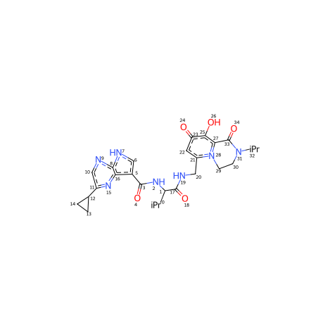 CC(C)C(NC(=O)c1c[nH]c2ncc(C3CC3)nc12)C(=O)NCc1cc(=O)c(O)c2n1CCN(C(C)C)C2=O